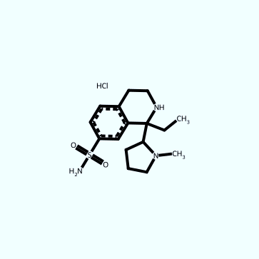 CCC1(C2CCCN2C)NCCc2ccc(S(N)(=O)=O)cc21.Cl